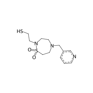 O=S1(=O)CCN(Cc2cccnc2)CCN1CCS